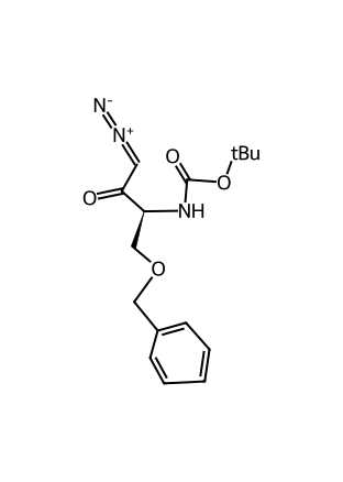 CC(C)(C)OC(=O)N[C@@H](COCc1ccccc1)C(=O)C=[N+]=[N-]